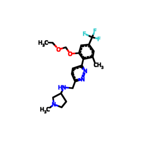 CCOCOc1cc(C(F)(F)F)cc(C)c1-c1ccc(CNC2CCN(C)C2)nn1